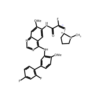 COc1cc2ncnc(Nc3cc(-c4ccc(F)cc4F)ccc3OC)c2cc1NC(=O)/C(F)=C\[C@H]1CCCN1C